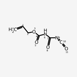 C=CCOC(=O)NC(=O)N=C=O